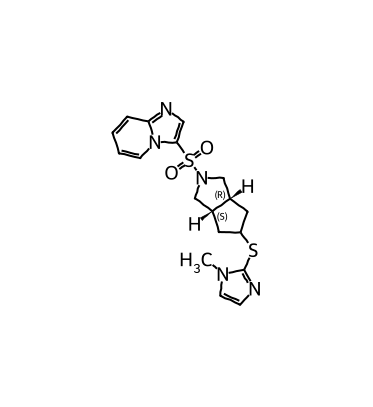 Cn1ccnc1SC1C[C@@H]2CN(S(=O)(=O)c3cnc4ccccn34)C[C@@H]2C1